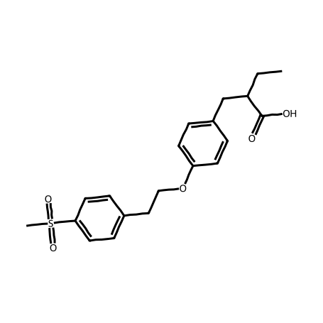 CCC(Cc1ccc(OCCc2ccc(S(C)(=O)=O)cc2)cc1)C(=O)O